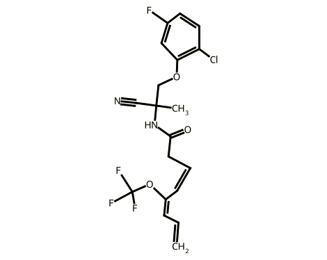 C=C/C=C(\C=C/CC(=O)NC(C)(C#N)COc1cc(F)ccc1Cl)OC(F)(F)F